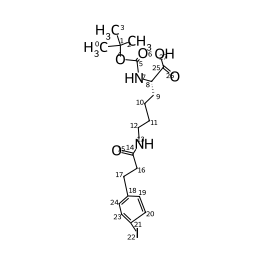 CC(C)(C)OC(=O)N[C@@H](CCCCNC(=O)CCc1ccc(I)cc1)C(=O)O